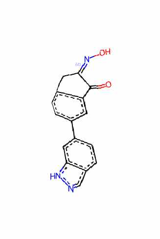 O=C1/C(=N\O)Cc2ccc(-c3ccc4cn[nH]c4c3)cc21